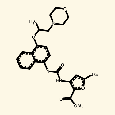 COC(=O)c1oc(C(C)(C)C)cc1NC(=O)Nc1ccc(OC(C)CN2CCOCC2)c2ccccc12